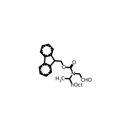 CCCCCCCCC(C)N(CC=O)C(=O)OCC1c2ccccc2-c2ccccc21